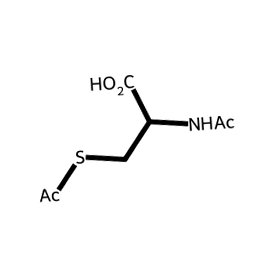 CC(=O)NC(CSC(C)=O)C(=O)O